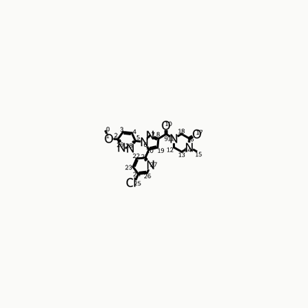 COc1ccc(-n2nc(C(=O)N3CCN(C)C(=O)C3)cc2-c2ccc(Cl)cn2)nn1